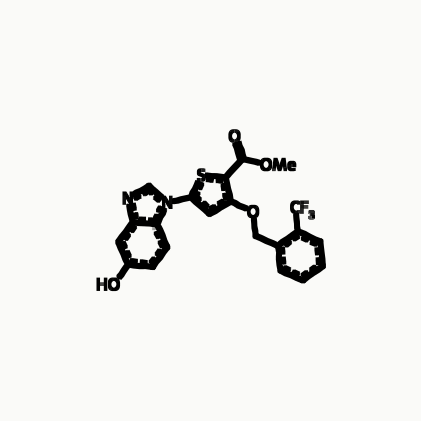 COC(=O)c1sc(-n2cnc3cc(O)ccc32)cc1OCc1ccccc1C(F)(F)F